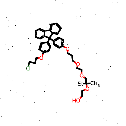 CCC(C)(COCCOCCCOc1ccc(C2(c3ccc(OCCCCl)cc3)c3ccccc3-c3ccccc32)cc1)OCCO